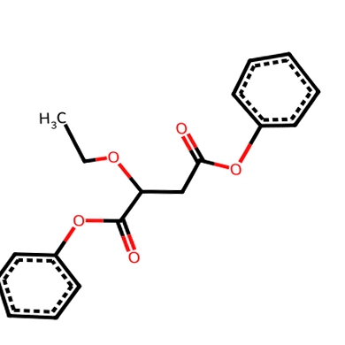 CCOC(CC(=O)Oc1ccccc1)C(=O)Oc1ccccc1